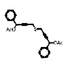 CC(=O)OC(C#CCSCC#CC(OC(C)=O)c1ccccc1)c1ccccc1